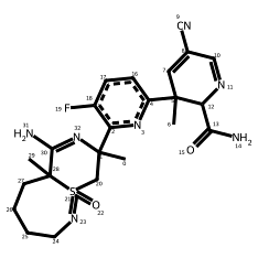 CC1(c2nc(C3(C)C=C(C#N)C=NC3C(N)=O)ccc2F)CS2(=O)=NCCCCC2(C)C(N)=N1